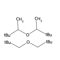 CC(C)(C)COCC(C)(C)C.CC(OC(C)C(C)(C)C)C(C)(C)C